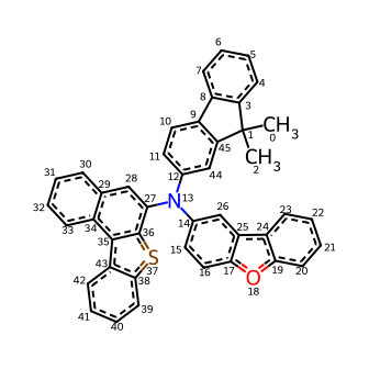 CC1(C)c2ccccc2-c2ccc(N(c3ccc4oc5ccccc5c4c3)c3cc4ccccc4c4c3sc3ccccc34)cc21